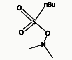 CCCCS(=O)(=O)ON(C)C